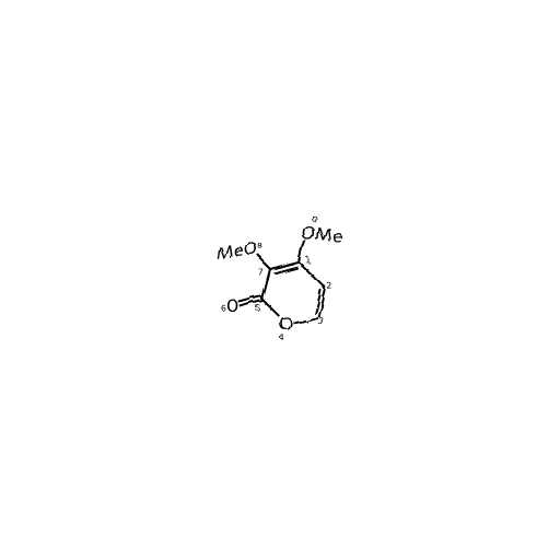 COc1ccoc(=O)c1OC